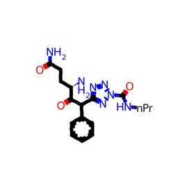 CCCNC(=O)n1nnc([C](C(=O)[C@@H](N)CCC(N)=O)c2ccccc2)n1